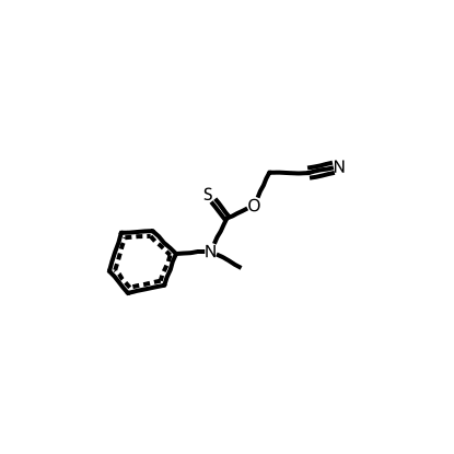 CN(C(=S)OCC#N)c1ccccc1